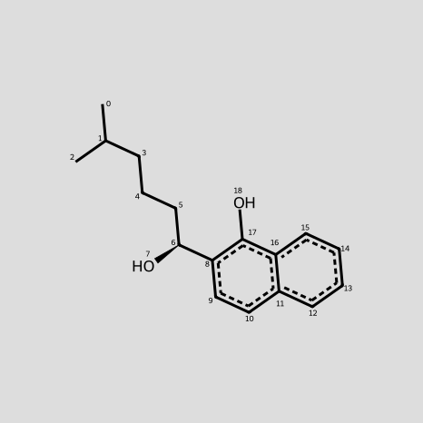 CC(C)CCC[C@H](O)c1ccc2ccccc2c1O